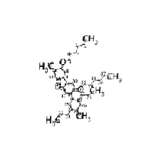 CCCCCCOc1cc2c(cc1C)oc1cc(-c3cc(CCC)c(C)cc3CCC)c(OCCCCCC)cc12